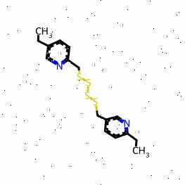 CCc1ccc(CSSSSCc2ccc(CC)nc2)nc1